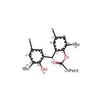 CCCCCC(=O)Oc1c(Cc2cc(C)cc(C(C)(C)C)c2O)cc(C)cc1C(C)(C)C